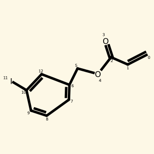 C=CC(=O)OCc1cccc(I)c1